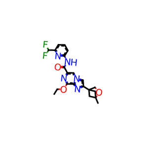 CCOc1nc(C(=O)Nc2cccc(C(F)F)n2)cn2cc(C34COC(C)(C3)C4)nc12